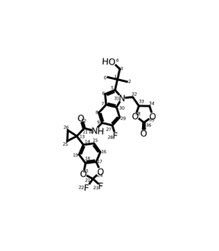 CC(C)(CO)c1cc2cc(NC(=O)C3(c4ccc5c(c4)OC(F)(F)O5)CC3)c(F)cc2n1CC1COC(=O)O1